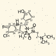 CCN(C)CCN1C(=O)N2C(c3cccc(O)c3)c3[nH]c4cc(F)c(Cl)cc4c3CC2(C)C1=O